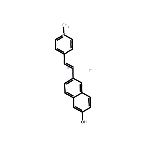 C[n+]1ccc(/C=C/c2ccc3cc(O)ccc3c2)cc1.[I-]